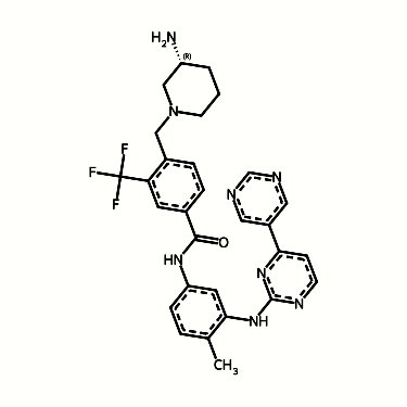 Cc1ccc(NC(=O)c2ccc(CN3CCC[C@@H](N)C3)c(C(F)(F)F)c2)cc1Nc1nccc(-c2cncnc2)n1